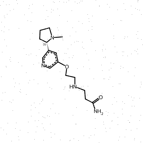 CN1CCC[C@H]1c1cncc(OCCNCCC(N)=O)c1